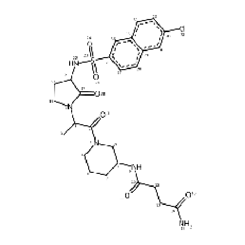 CC(C(=O)N1CCCC(NC(=O)CCC(N)=O)C1)N1CCC(NS(=O)(=O)c2ccc3cc(Cl)ccc3c2)C1=O